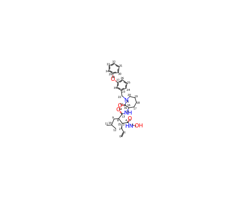 C=CC[C@H](C(=O)NO)C(CC(C)C)C(=O)NC1CCCCN(Cc2cccc(Oc3ccccc3)c2)C1=O